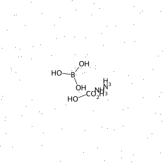 N.N.O=C(O)O.OB(O)O